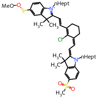 CCCCCCCN1C(=CC=C2CCCC(C=CC3=[N+](CCCCCCC)c4ccc(SOOC)cc4C3(C)C)=C2Cl)C(C)(C)c2cc(S(C)(=O)=O)ccc21